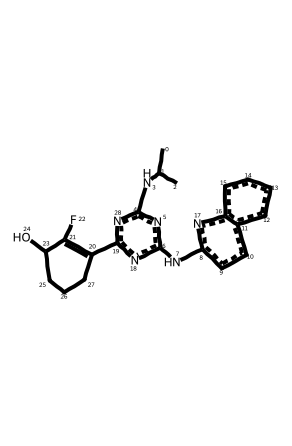 CC(C)Nc1nc(Nc2ccc3ccccc3n2)nc(C2=C(F)C(O)CCC2)n1